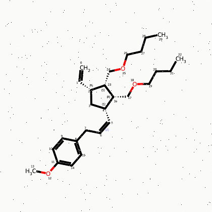 C=C[C@H]1C[C@@H](/C=C\Cc2ccc(OC)cc2)[C@@H](COCCCC)[C@H]1COCCCC